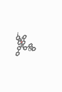 Ic1ccc2c3ccccc3n(-c3ccccc3-c3ccc(N(c4cccc(-c5ccccc5)c4)c4cccc(-c5cccc6c5oc5ccccc56)c4)cc3)c2c1